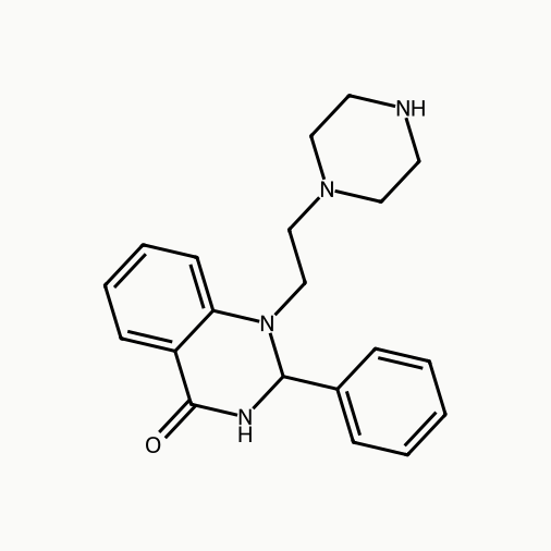 O=C1NC(c2ccccc2)N(CCN2CCNCC2)c2ccccc21